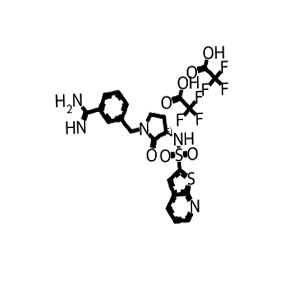 N=C(N)c1cccc(CN2CC[C@H](NS(=O)(=O)c3cc4cccnc4s3)C2=O)c1.O=C(O)C(F)(F)F.O=C(O)C(F)(F)F